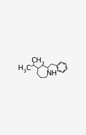 CC(C)C1CCCNC(Cc2ccccc2)C1